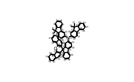 CC1(C)c2ccccc2-c2cc(N(c3ccc4c(c3)C(C)(C)c3ccccc3-4)c3ccc4c(c3)C3(c5ccccc5-4)c4ccc5ccccc5c4Oc4c3ccc3ccccc43)ccc21